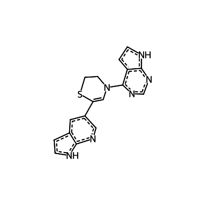 C1=C(c2cnc3[nH]ccc3c2)SCCN1c1ncnc2[nH]ccc12